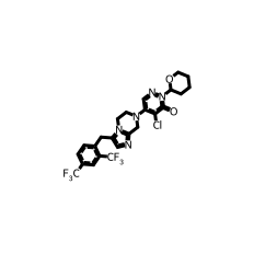 O=c1c(Cl)c(N2CCn3c(Cc4ccc(C(F)(F)F)cc4C(F)(F)F)cnc3C2)cnn1C1CCCCO1